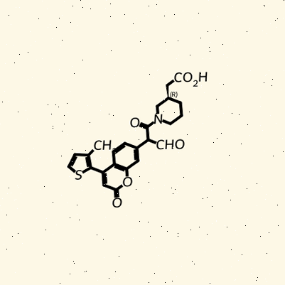 Cc1ccsc1-c1cc(=O)oc2cc(C(C=O)C(=O)N3CCC[C@H](CC(=O)O)C3)ccc12